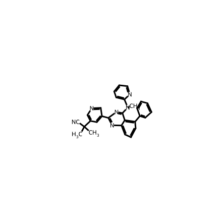 CN(c1ccccn1)c1nc(-c2cncc(C(C)(C)C#N)c2)nc2cccc(-c3ccccc3)c12